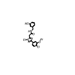 CCn1nc(-c2ccc(Cl)c(OC(C)C)c2)nc1CC(=O)NCc1cccc(C#N)c1